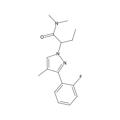 CCC(C(=O)N(C)C)n1cc(C)c(-c2ccccc2F)n1